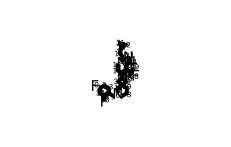 Fc1ccc(CN2CCCC3(C2)CN(c2ccn4c(CC5CC5)nnc4c2C(F)(F)F)C3)c(F)c1